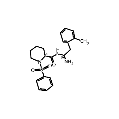 Cc1ccccc1C[C@@H](N)NC(=O)[C@@H]1CCCCN1S(=O)(=O)c1ccccc1